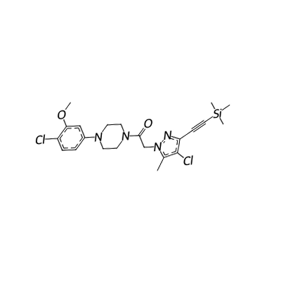 COc1cc(N2CCN(C(=O)Cn3nc(C#C[Si](C)(C)C)c(Cl)c3C)CC2)ccc1Cl